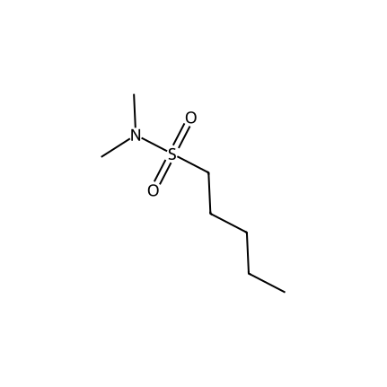 CCCCCS(=O)(=O)N(C)C